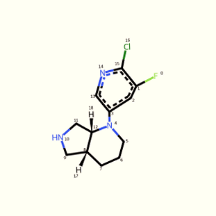 Fc1cc(N2CCC[C@@H]3CNC[C@@H]32)cnc1Cl